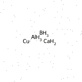 B.[AlH3].[CaH2].[Cu]